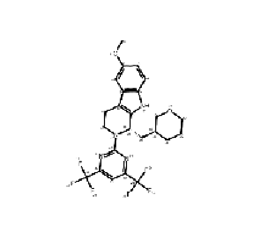 COc1ccc2[nH]c3c(c2c1)CCN(c1nc(C(F)(F)F)cc(C(F)(F)F)n1)[C@H]3C[C@@H]1CCCOC1